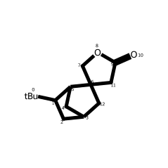 CC(C)(C)C1CC2CC1C1(COC(=O)C1)C2